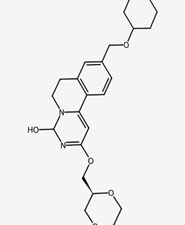 OC1N=C(OC[C@@H]2COCCO2)C=C2c3ccc(COC4CCCCC4)cc3CCN21